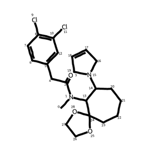 CN(C(=O)Cc1ccc(Cl)c(Cl)c1)C1C(N2CC=CC2)CCCCC12OCCO2